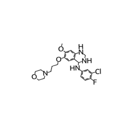 COc1cc2c(cc1OCCCN1CCOCC1)C(Nc1ccc(F)c(Cl)c1)NCN2